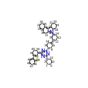 c1ccc(-c2nc(-c3ccc(-c4cccc(-n5c6ccccc6c6c7ccccc7ccc65)c4)cc3)nc(-c3cccc4c3sc3ccccc34)n2)cc1